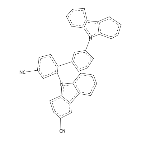 N#Cc1ccc(-c2cccc(-n3c4ccccc4c4ccccc43)c2)c(-n2c3ccccc3c3cc(C#N)ccc32)c1